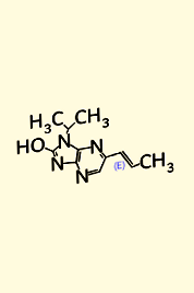 C/C=C/c1cnc2nc(O)n(C(C)C)c2n1